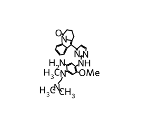 COc1cc(N(C)CCN(C)C)c(N)cc1Nc1nccc(-c2c3n(c4ccccc24)C(=O)CCC3)n1